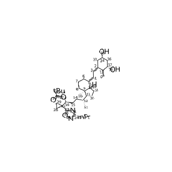 C=C1/C(=C\C=C2/CCC[C@]3(C)[C@@H]([C@H](C)CC[C@H](OC(=O)C(C)(C)C)C4(c5nc(CCC)no5)CC4)CC[C@@H]23)C[C@@H](O)C[C@@H]1O